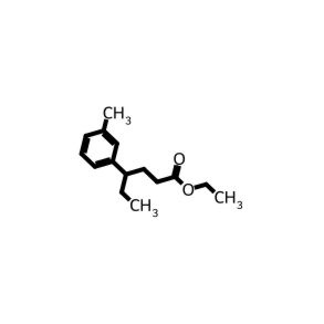 CCOC(=O)CCC(CC)c1cccc(C)c1